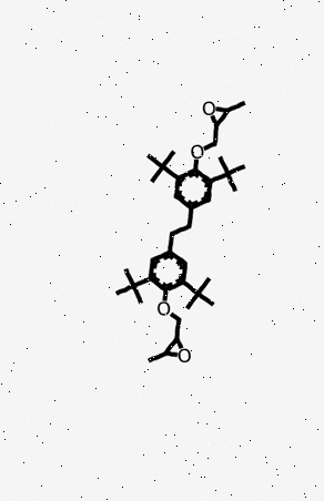 CC1OC1COc1c(C(C)(C)C)cc(CCc2cc(C(C)(C)C)c(OCC3OC3C)c(C(C)(C)C)c2)cc1C(C)(C)C